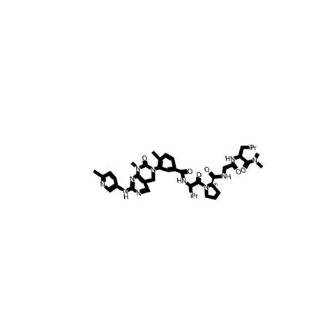 Cc1ccc(Nc2ncc3c(n2)N(C)C(=O)N(c2cc(C(=O)NC(C(=O)N4CCC[C@@H]4C(=O)NCC(=O)NC(CC(C)C)C(=O)N(C)C)C(C)C)ccc2C)C3)cn1